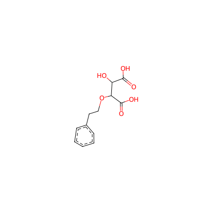 O=C(O)C(O)C(OCCc1ccccc1)C(=O)O